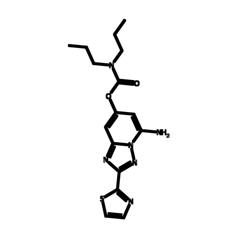 CCCN(CCC)C(=O)Oc1cc(N)n2nc(-c3nccs3)nc2c1